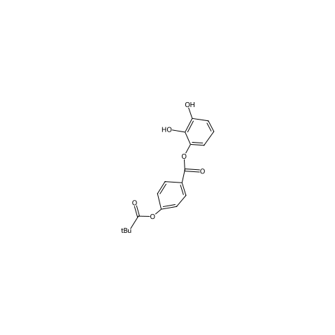 CC(C)(C)C(=O)Oc1ccc(C(=O)Oc2cccc(O)c2O)cc1